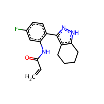 C=CC(=O)Nc1cc(F)ccc1-c1n[nH]c2c1CCCC2